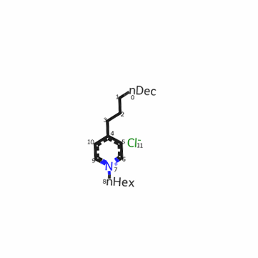 CCCCCCCCCCCCCc1cc[n+](CCCCCC)cc1.[Cl-]